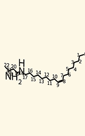 CCCCCCCC/C=C\CCCCCCCCNCCC(C)N